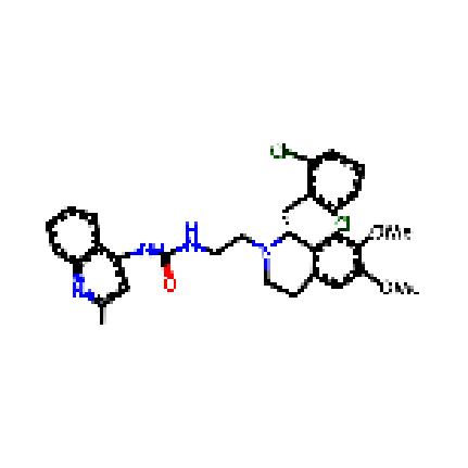 COc1cc2c(cc1OC)[C@@H](Cc1c(Cl)cccc1Cl)N(CCNC(=O)Nc1cc(C)nc3ccccc13)CC2